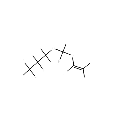 FC(F)=C(F)OC(F)(F)OC(F)(F)C(F)(F)C(F)(F)F